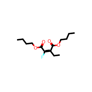 CCCCOC(=O)/C(F)=C(/CC)C(=O)OCCCC